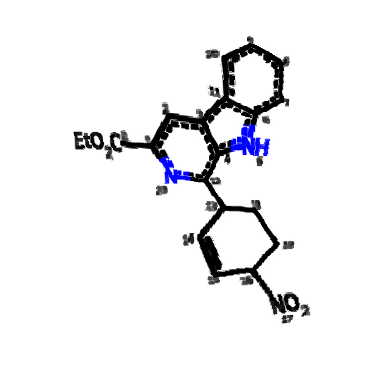 CCOC(=O)c1cc2c([nH]c3ccccc32)c(C2C=CC([N+](=O)[O-])CC2)n1